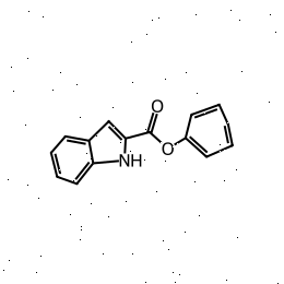 O=C(Oc1ccccc1)c1cc2ccccc2[nH]1